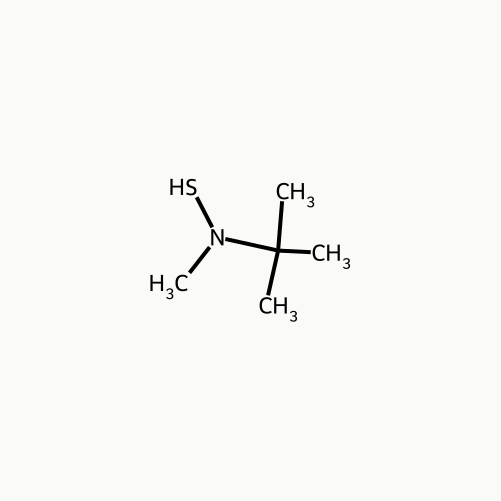 CN(S)C(C)(C)C